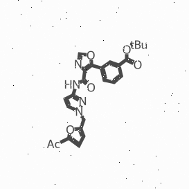 CC(=O)c1ccc(Cn2ccc(NC(=O)c3ncoc3-c3cccc(C(=O)OC(C)(C)C)c3)n2)o1